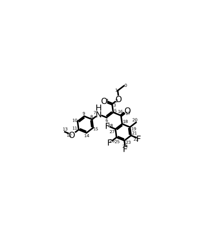 CCOC(=O)C(=CNc1ccc(OC)cc1)C(=O)c1c(C)c(F)c(F)c(F)c1F